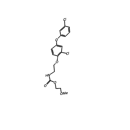 COCCOC(=O)NCCOc1ccc(Oc2cccc(Cl)c2)cc1Cl